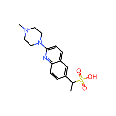 CC(c1ccc2nc(N3CCN(C)CC3)ccc2c1)S(=O)(=O)O